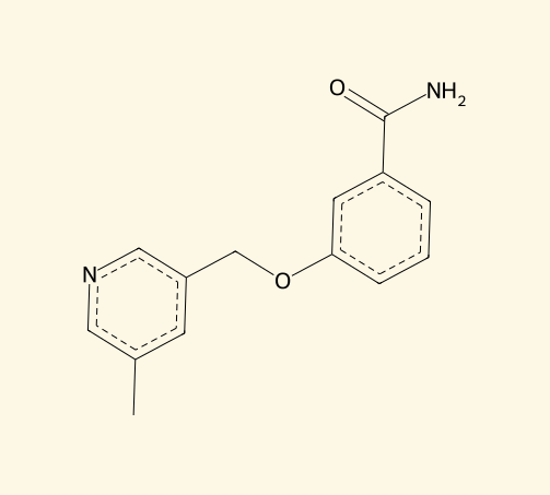 Cc1cncc(COc2cccc(C(N)=O)c2)c1